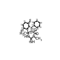 CN1C(=N)N[C@](C)(c2cc(F)ccc2F)[C@@H](Cc2ccccc2)S1(=O)=O